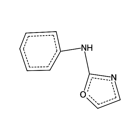 c1ccc(Nc2ncco2)cc1